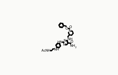 CC(=O)NCCNc1ccc(Nc2ncc(C(N)=O)c(NCC3CCCN(C(=O)OCc4ccccc4)C3)n2)cc1